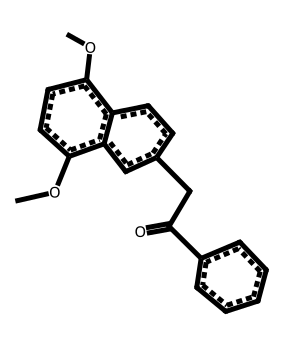 COc1ccc(OC)c2cc(CC(=O)c3ccccc3)ccc12